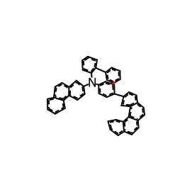 c1ccc(-c2ccccc2N(c2ccc(-c3ccc4ccc5ccc6ccccc6c5c4c3)cc2)c2ccc3c(ccc4ccccc43)c2)cc1